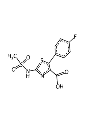 CS(=O)(=O)Nc1nc(C(=O)O)c(-c2ccc(F)cc2)s1